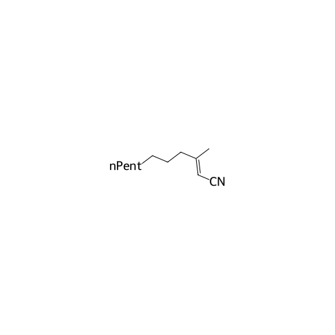 CCCCCCCCC(C)=CC#N